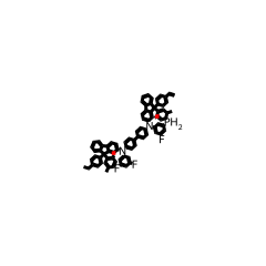 C=CC1=CCC(C2(C3=CC(C)CC=C3C)c3ccccc3-c3ccc(N(c4ccc(-c5ccc(N(c6cc(F)cc(F)c6)c6ccc7c(c6)C(c6ccc(CC)cc6)(c6cc(C)ccc6C)c6ccccc6-7)cc5)cc4)c4cc(F)cc(P)c4)cc32)C=C1